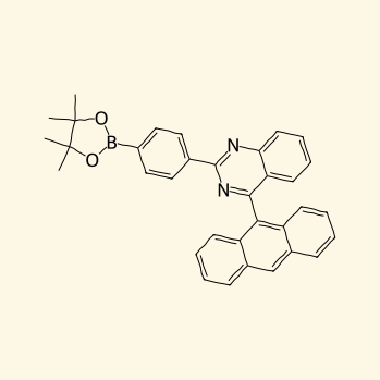 CC1(C)OB(c2ccc(-c3nc(-c4c5ccccc5cc5ccccc45)c4ccccc4n3)cc2)OC1(C)C